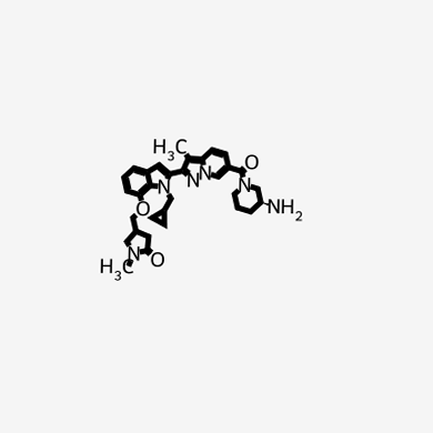 Cc1c(-c2cc3cccc(OCC4CC(=O)N(C)C4)c3n2CC2CC2)nn2cc(C(=O)N3CCC[C@@H](N)C3)ccc12